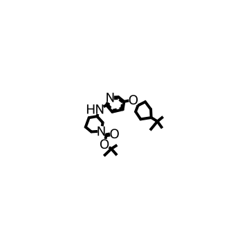 CC(C)(C)OC(=O)N1CCCC(Nc2ccc(OC3CCC(C(C)(C)C)CC3)cn2)C1